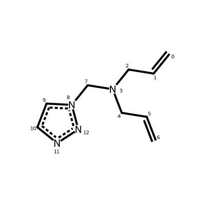 C=CCN(CC=C)Cn1ccnn1